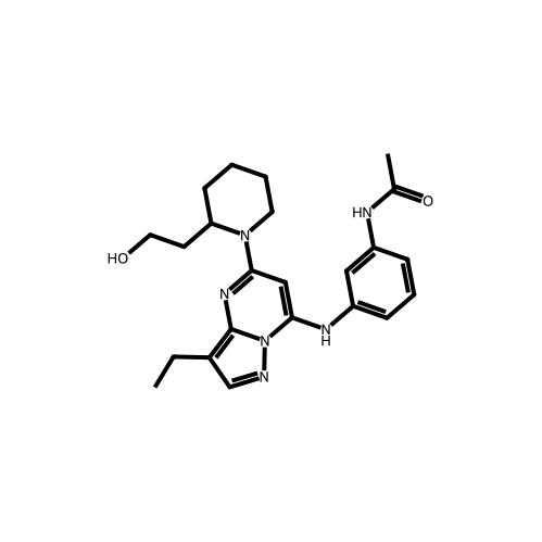 CCc1cnn2c(Nc3cccc(NC(C)=O)c3)cc(N3CCCCC3CCO)nc12